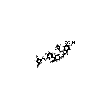 C=C1C2CN(Cc3nc4ccc(C(=O)O)cc4n3C[C@@H]3CCO3)CCC12c1cccc(OCc2sc(C)cc2F)n1